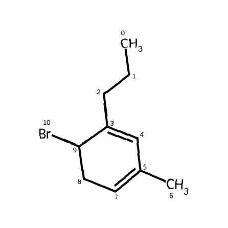 CCCC1=CC(C)=CCC1Br